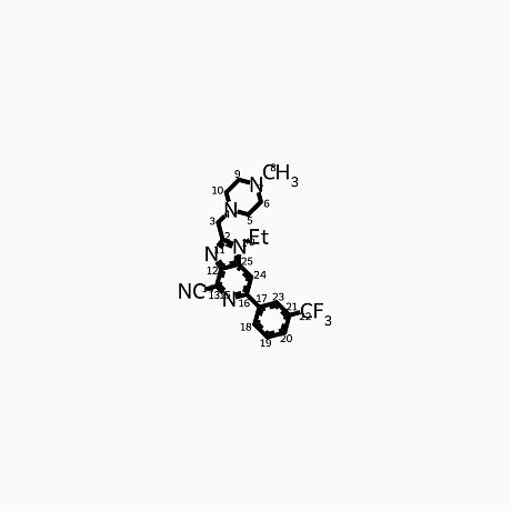 CCn1c(CN2CCN(C)CC2)nc2c(C#N)nc(-c3cccc(C(F)(F)F)c3)cc21